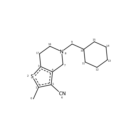 Cc1sc2c(c1C#N)CN(CC1CCCCC1)CC2